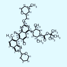 Cc1ccc2cn(C3CCCCO3)nc2c1-c1c(Cl)cc2c(N3C[C@@H](C)N(C(=O)OC(C)(C)C)C[C@@H]3C)nc(OCC3CN(C)CCO3)nc2c1F